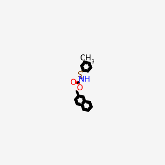 Cc1cccc(SNC(=O)OCc2ccc3ccccc3c2)c1